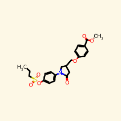 CCCS(=O)(=O)Oc1ccc(N2CC(COc3ccc(C(=O)OC)cc3)CC2=O)cc1